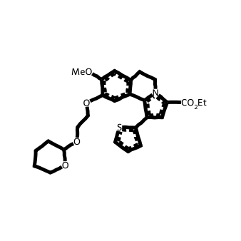 CCOC(=O)c1cc(-c2cccs2)c2n1CCc1cc(OC)c(OCCOC3CCCCO3)cc1-2